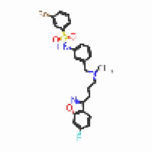 CN(CCCc1noc2cc(F)ccc12)Cc1cccc(NS(=O)(=O)c2cccc(Br)c2)c1